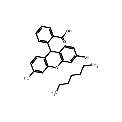 NCCCCCN.O=C(O)c1ccccc1C1c2ccc(O)cc2Oc2cc(O)ccc21